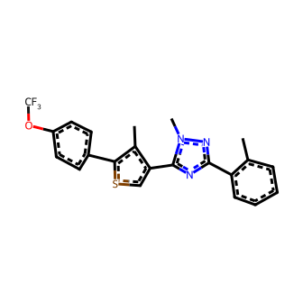 Cc1ccccc1-c1nc(-c2csc(-c3ccc(OC(F)(F)F)cc3)c2C)n(C)n1